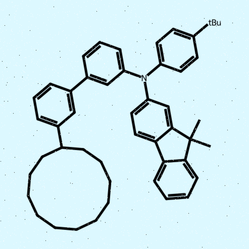 CC(C)(C)c1ccc(N(c2cccc(-c3cccc(C4CCCCCCCCCCC4)c3)c2)c2ccc3c(c2)C(C)(C)c2ccccc2-3)cc1